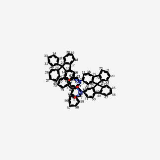 c1ccc(-c2ccccc2N(c2ccc3c(c2)-c2ccccc2C3(c2ccccc2)c2ccccc2)c2ccc3c(c2)C2(c4ccccc4-c4ccc(N(c5ccccc5)c5ccccc5)cc42)c2ccccc2-3)cc1